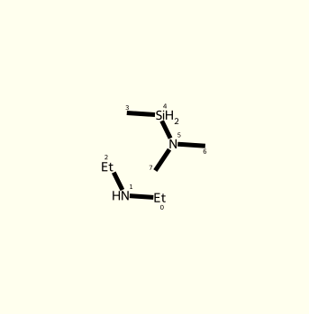 CCNCC.C[SiH2]N(C)C